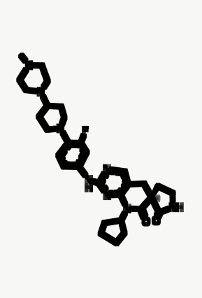 CN1CCN(C2CCN(c3ccc(Nc4ncc5c(n4)N(C4CCCC4)C(=O)[C@]4(CCNC4=O)C5)cc3F)CC2)CC1